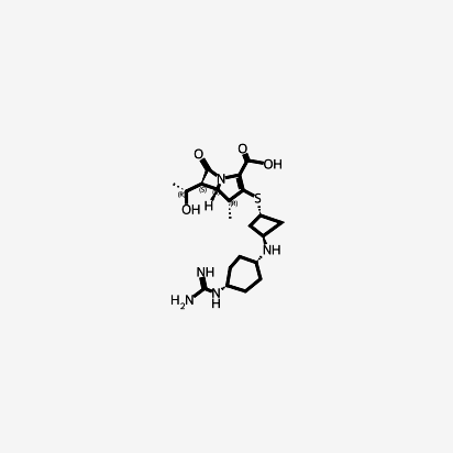 C[C@@H](O)[C@H]1C(=O)N2C(C(=O)O)=C(S[C@H]3C[C@H](N[C@H]4CC[C@@H](NC(=N)N)CC4)C3)[C@H](C)[C@H]12